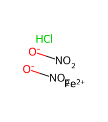 Cl.O=[N+]([O-])[O-].O=[N+]([O-])[O-].[Fe+2]